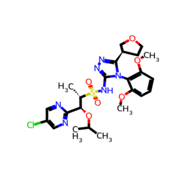 COc1cccc(OC)c1-n1c(NS(=O)(=O)[C@@H](C)[C@@H](OC(C)C)c2ncc(Cl)cn2)nnc1[C@@H]1CCOC1